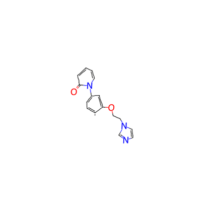 O=c1ccccn1-c1cc[c]c(OCCn2ccnc2)c1